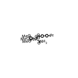 COc1cc(CN[C@@H](CCC(N)=O)C(=O)OC(=O)c2ccc(-c3ccc(C(C)C)cc3)cc2)cc(OC)c1OC